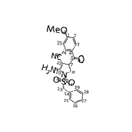 COc1ccc(C(=O)C2CN(S(=O)(=O)Cc3ccccc3)C(N)=C2C#N)cc1